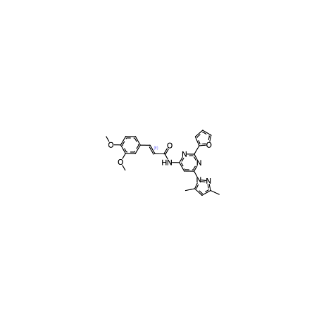 COc1ccc(/C=C/C(=O)Nc2cc(-n3nc(C)cc3C)nc(-c3ccco3)n2)cc1OC